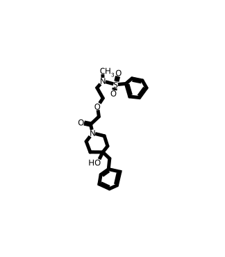 CN(CCOCC(=O)N1CCC(O)(Cc2ccccc2)CC1)S(=O)(=O)c1ccccc1